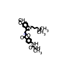 CNC(=O)Nc1ccc2c(c1)O/C(=C\c1cn(CCCN(C)C)c3ccc(OC)cc13)C2=O